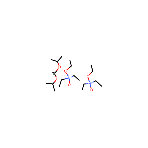 CC(C)[O][Ti][O]C(C)C.CCO[N+]([O-])(CC)CC.CCO[N+]([O-])(CC)CC